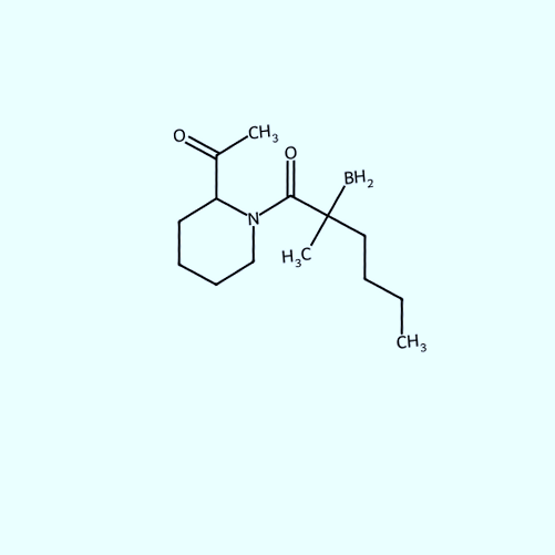 BC(C)(CCCC)C(=O)N1CCCCC1C(C)=O